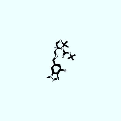 Cn1nnc2c(Br)cc(COC[C@H]3COC(C)(C)N3C(=O)OC(C)(C)C)cc21